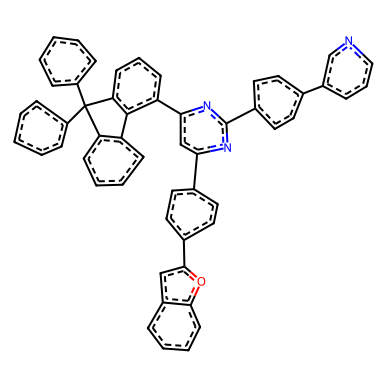 c1ccc(C2(c3ccccc3)c3ccccc3-c3c(-c4cc(-c5ccc(-c6cc7ccccc7o6)cc5)nc(-c5ccc(-c6cccnc6)cc5)n4)cccc32)cc1